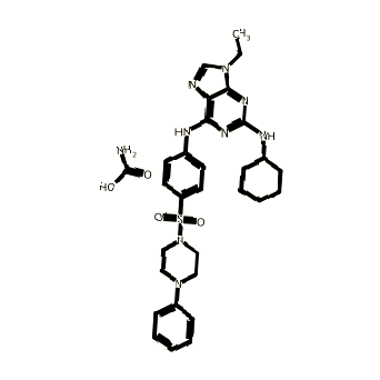 CCn1cnc2c(Nc3ccc(S(=O)(=O)N4CCN(c5ccccc5)CC4)cc3)nc(NC3CCCCC3)nc21.NC(=O)O